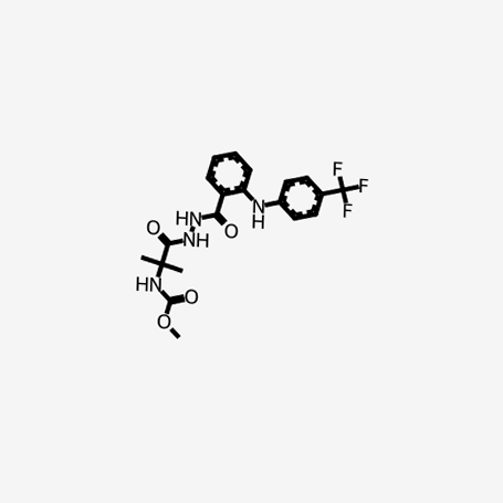 COC(=O)NC(C)(C)C(=O)NNC(=O)c1ccccc1Nc1ccc(C(F)(F)F)cc1